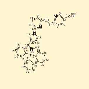 N#Cc1ccc(COc2cccc(-n3cc4c(c3)CN(C(c3ccccc3)(c3ccccc3)c3ccccc3)C4)n2)nc1